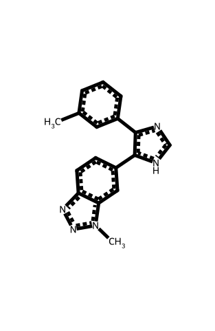 Cc1cccc(-c2nc[nH]c2-c2ccc3nnn(C)c3c2)c1